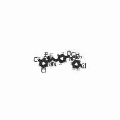 CS(=O)(=NC(=O)c1ccc(C2=NOC(c3cc(Cl)cc(Cl)c3)(C(F)(F)F)C2)cc1)c1cccc(Cl)c1